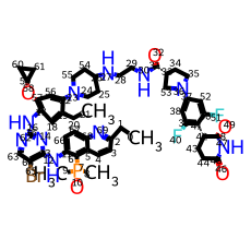 CCc1ccc2c(P(C)(C)=O)c(Nc3nc(Nc4cc(CC)c(N5CCC(NCCNC(=O)[C@@H]6CCN(c7cc(F)c([C@H]8CCC(=O)NC8=O)c(F)c7)C6)CC5)cc4OC4CC4)ncc3Br)ccc2n1